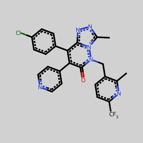 Cc1nc(C(F)(F)F)ccc1Cn1c(=O)c(-c2ccncc2)c(-c2ccc(Cl)cc2)c2nnc(C)n21